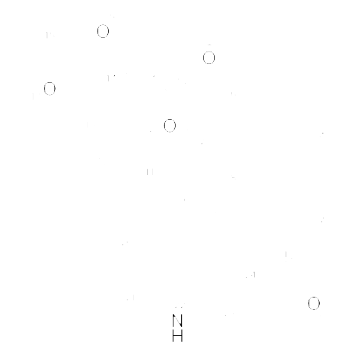 O=C1Cc2ccc3c(c2C2=C(c4ccc5c(c4)OCO5)CCNCC12)OCO3